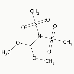 COC(OC)N(S(C)(=O)=O)S(C)(=O)=O